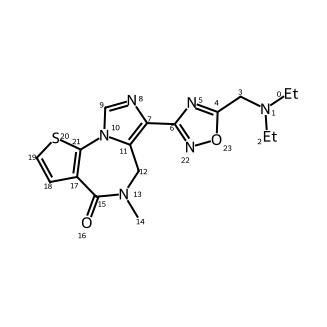 CCN(CC)Cc1nc(-c2ncn3c2CN(C)C(=O)c2ccsc2-3)no1